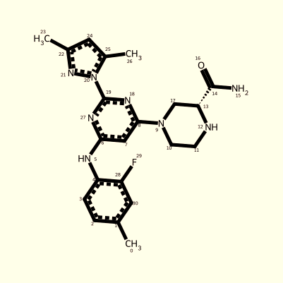 Cc1ccc(Nc2cc(N3CCN[C@@H](C(N)=O)C3)nc(-n3nc(C)cc3C)n2)c(F)c1